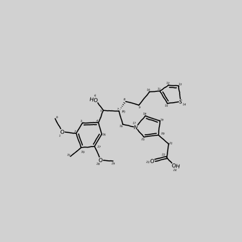 COc1cc(C(O)[C@H](CCCc2ccsc2)Cn2ccc(CC(=O)O)c2)cc(OC)c1C